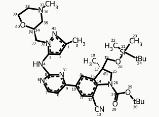 Cc1cc(Nc2nccc(-c3cc(C#N)c4c(c3)[C@@](C)(CO[Si](C)(C)C(C)(C)C)CN4C(=O)OC(C)(C)C)n2)n(C[C@@H]2CN(C)CCO2)n1